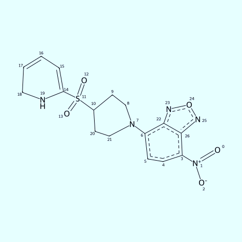 O=[N+]([O-])c1ccc(N2CCC(S(=O)(=O)C3=CC=CCN3)CC2)c2nonc12